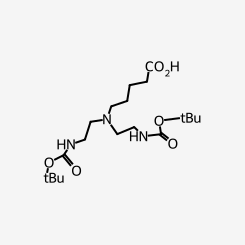 CC(C)(C)OC(=O)NCCN(CCCCC(=O)O)CCNC(=O)OC(C)(C)C